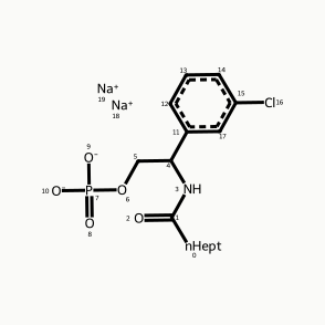 CCCCCCCC(=O)NC(COP(=O)([O-])[O-])c1cccc(Cl)c1.[Na+].[Na+]